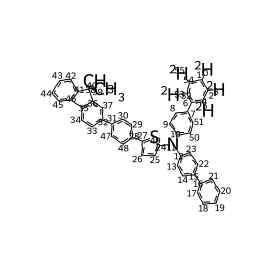 [2H]c1c([2H])c([2H])c(-c2ccc(N(c3ccc(-c4ccccc4)cc3)c3ccc(-c4ccc(-c5ccc6c(c5)C(C)(C)c5ccccc5-6)cc4)s3)cc2)c([2H])c1[2H]